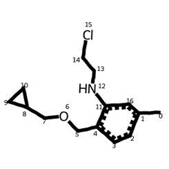 Cc1ccc(COCC2CC2)c(NCCCl)c1